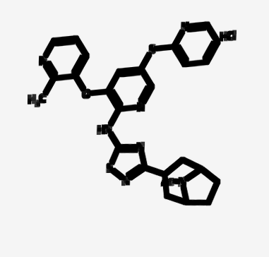 CC(=O)N1C2CCC1CC(c1nsc(Nc3ncc(Sc4ccccn4)cc3Oc3cccnc3C)n1)C2.Cl